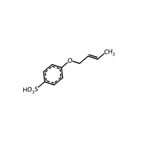 CC=CCOc1ccc(S(=O)(=O)O)cc1